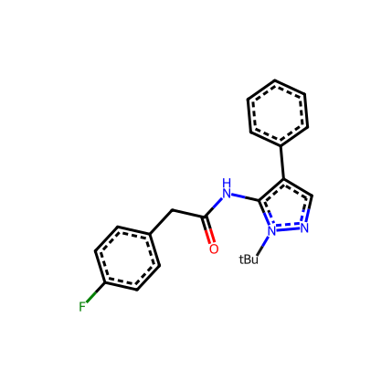 CC(C)(C)n1ncc(-c2ccccc2)c1NC(=O)Cc1ccc(F)cc1